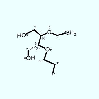 BCO[C@H](CO)[C@@H](CO)OCCC